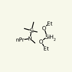 CCCN(C)[Si](C)(C)C.CCO[SiH2]OCC